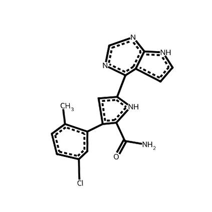 Cc1ccc(Cl)cc1-c1cc(-c2ncnc3[nH]ccc23)[nH]c1C(N)=O